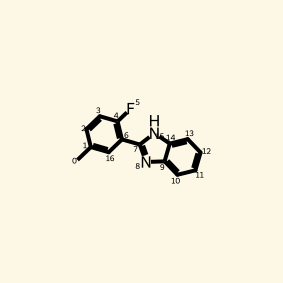 Cc1ccc(F)c(-c2nc3ccccc3[nH]2)c1